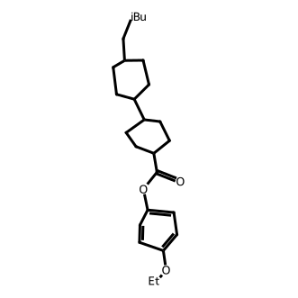 CCOc1ccc(OC(=O)C2CCC(C3CCC(CC(C)CC)CC3)CC2)cc1